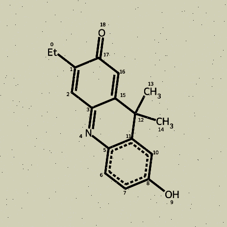 CCC1=CC2=Nc3ccc(O)cc3C(C)(C)C2=CC1=O